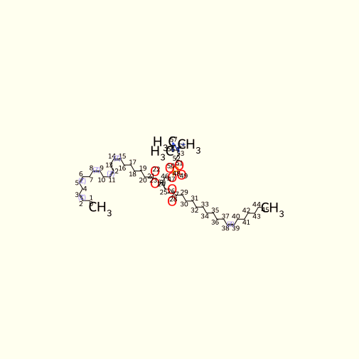 CC/C=C\C/C=C\C/C=C\C/C=C\C/C=C\CCCCCC(=O)O[C@H](COC(=O)CCCCCCCCC/C=C\CCCCCC)COP(=O)([O-])OCC[N+](C)(C)C